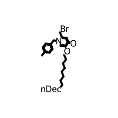 CCCCCCCCCCCCCCCCCCOc1cn(Cc2ccc(C)cc2)c(CBr)cc1=O